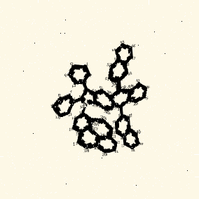 c1ccc(-c2c(-c3ccccc3)n(-c3ccc4ccc5cccc6ccc3c4c56)c3cc4c(-c5ccc6ccccc6c5)c5ccccc5c(-c5ccc6ccccc6c5)c4cc23)cc1